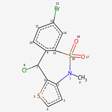 CN1c2ccsc2C(Cl)c2ccc(Br)cc2S1(=O)=O